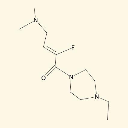 CCN1CCN(C(=O)/C(F)=C/CN(C)C)CC1